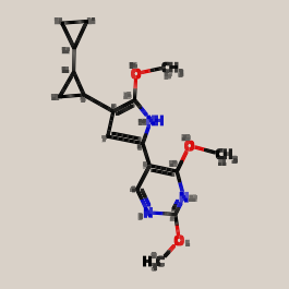 COc1ncc(-c2cc(C3CC3C3CC3)c(OC)[nH]2)c(OC)n1